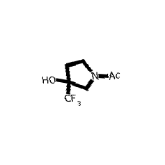 CC(=O)N1CCC(O)(C(F)(F)F)C1